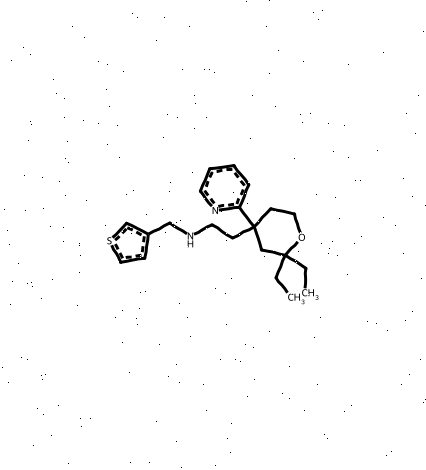 CCC1(CC)CC(CCNCc2ccsc2)(c2ccccn2)CCO1